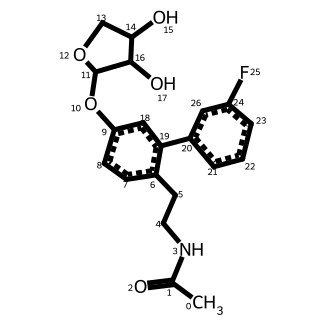 CC(=O)NCCc1ccc(OC2OCC(O)C2O)cc1-c1cccc(F)c1